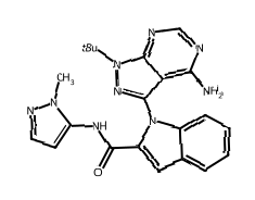 Cn1nccc1NC(=O)c1cc2ccccc2n1-c1nn(C(C)(C)C)c2ncnc(N)c12